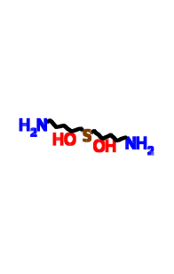 NCCCC(O)CSCC(O)CCCN